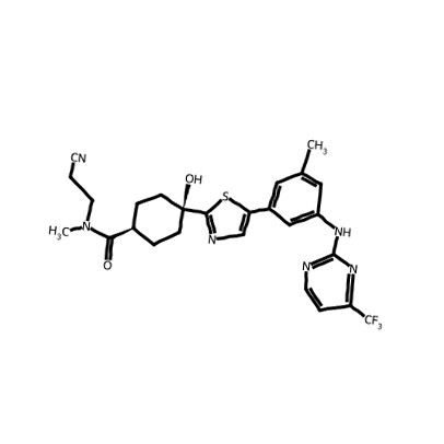 Cc1cc(Nc2nccc(C(F)(F)F)n2)cc(-c2cnc([C@]3(O)CC[C@@H](C(=O)N(C)CCC#N)CC3)s2)c1